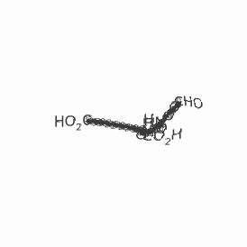 O=CCOCCOCCNC(=O)CC[C@H](NC(=O)CCCCCCCCCCCCCCCCC(=O)O)C(=O)O